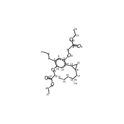 CCCc1cc(OCC(=O)OCC)c(C2CC2C[C@H](C)CCC)cc1OCC(=O)OCC